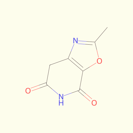 Cc1nc2c(o1)C(=O)NC(=O)C2